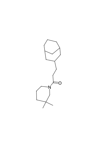 CC1(C)CCCN(C(=O)CCC2CC3CCCC(C3)C2)C1